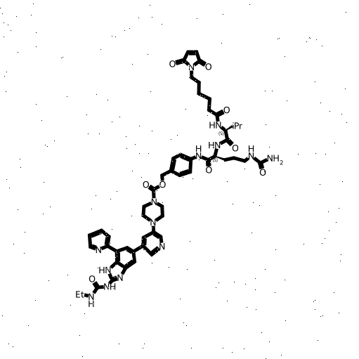 CCNC(=O)Nc1nc2cc(-c3cncc(N4CCN(C(=O)OCc5ccc(NC(=O)[C@H](CCCNC(N)=O)NC(=O)[C@@H](NC(=O)CCCCCN6C(=O)C=CC6=O)C(C)C)cc5)CC4)c3)cc(-c3ccccn3)c2[nH]1